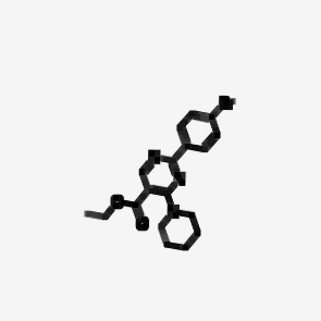 CCOC(=O)c1cnc(-c2ccc(Br)cc2)nc1N1CCCCC1